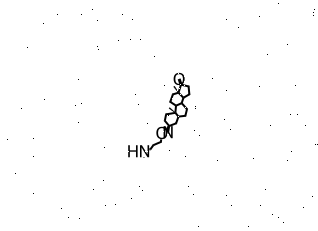 CNCCCO/N=C1\CC[C@@]2(C)C(CCC3C2CC[C@]2(C)C(=O)CCC32)C1